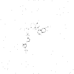 C=C[C@@H](CNS(=O)(=O)c1ccc(-c2cc(C(F)(F)F)[nH]n2)s1)[C@H]1CCN2C(=O)S[C@@H](c3ccnc4ccc(OC)cc34)[C@@H]2C1